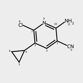 N#Cc1cc(C2CC2)c(Cl)nc1N